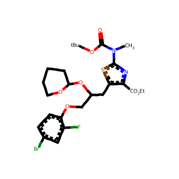 CCOC(=O)c1nc(N(C)C(=O)OC(C)(C)C)sc1CC(COc1ccc(Br)cc1F)OC1CCCCO1